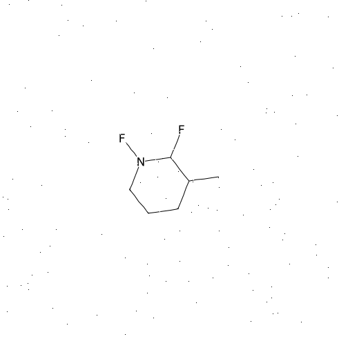 CC1CCCN(F)C1F